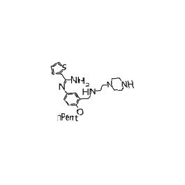 CCCCCOc1ccc(N=C(N)c2cccs2)cc1CNCCN1CCNCC1